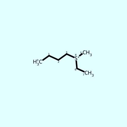 CCCC[S+](C)CC